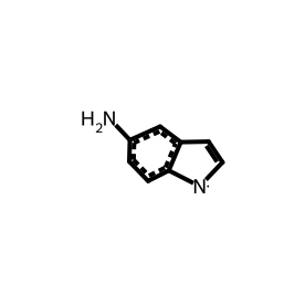 Nc1ccc2c(c1)C=C[N]2